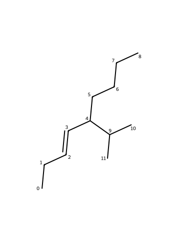 CCC=CC(CCCC)C(C)C